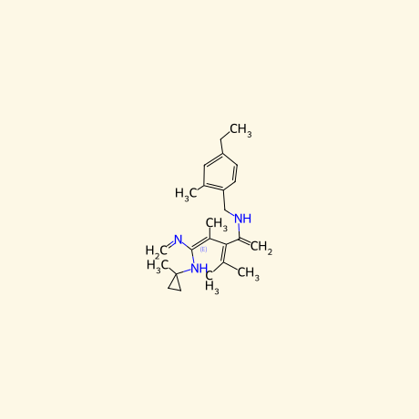 C=N/C(NC1(C)CC1)=C(\C)C(C(=C)NCc1ccc(CC)cc1C)=C(C)C